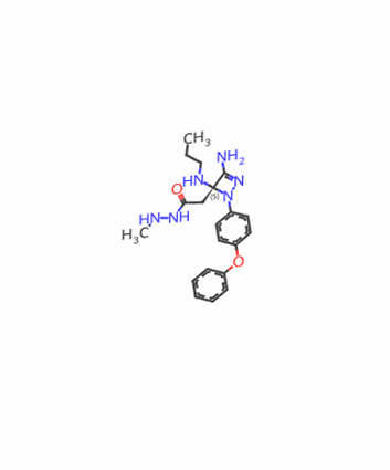 CCCN[C@]1(CC(=O)NNC)C(N)=NN1c1ccc(Oc2ccccc2)cc1